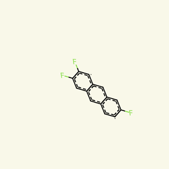 Fc1[c]cc2cc3cc(F)c(F)[c]c3cc2c1